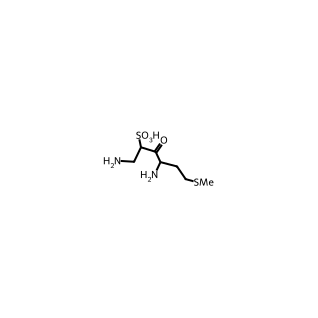 CSCCC(N)C(=O)C(CN)S(=O)(=O)O